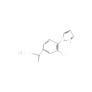 CC(C(=O)O)c1ccc(-n2cccn2)c(Cl)c1